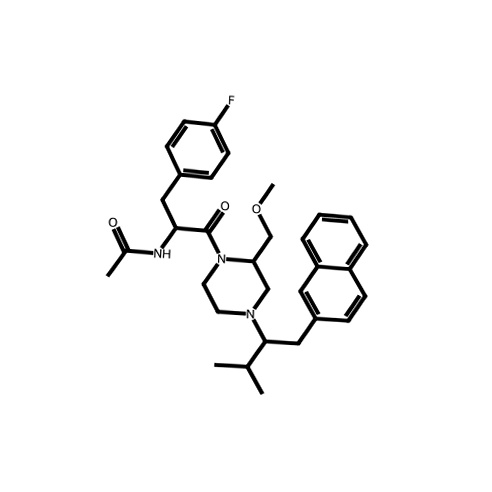 COCC1CN(C(Cc2ccc3ccccc3c2)C(C)C)CCN1C(=O)C(Cc1ccc(F)cc1)NC(C)=O